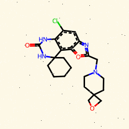 O=C1Nc2c(Cl)cc3nc(CN4CCC5(CC4)COC5)oc3c2C2(CCCCC2)N1